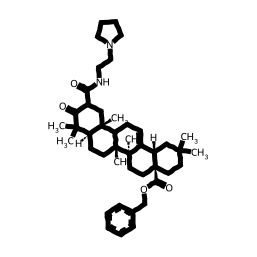 CC1(C)CC[C@]2(C(=O)OCc3ccccc3)CC[C@]3(C)C(=CCC4[C@@]5(C)CC(C(=O)NCCN6CCCC6)C(=O)C(C)(C)[C@@H]5CC[C@]43C)[C@@H]2C1